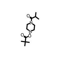 CC(C)C(=O)N1CCN(OC(=O)C(C)(C)C)CC1